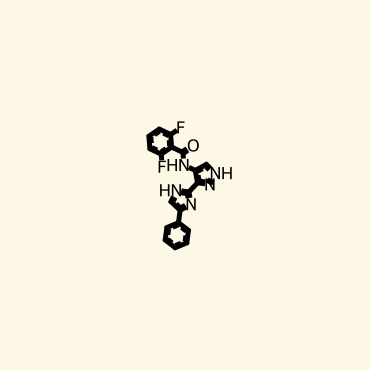 O=C(Nc1c[nH]nc1-c1nc(-c2ccccc2)c[nH]1)c1c(F)cccc1F